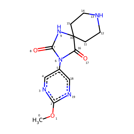 COc1ncc(N2C(=O)NC3(CCNCC3)C2=O)cn1